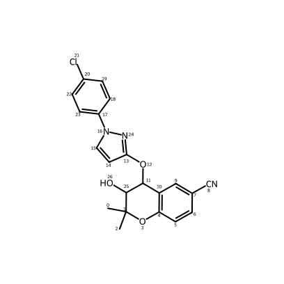 CC1(C)Oc2ccc(C#N)cc2C(Oc2ccn(-c3ccc(Cl)cc3)n2)C1O